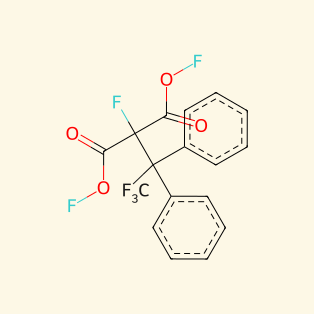 O=C(OF)C(F)(C(=O)OF)C(c1ccccc1)(c1ccccc1)C(F)(F)F